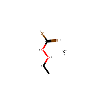 CCOOC(=S)[S-].[K+]